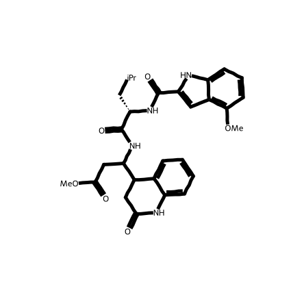 COC(=O)CC(NC(=O)[C@H](CC(C)C)NC(=O)c1cc2c(OC)cccc2[nH]1)C1CC(=O)Nc2ccccc21